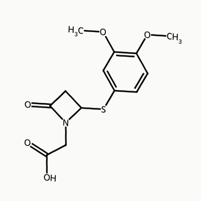 COc1ccc(SC2CC(=O)N2CC(=O)O)cc1OC